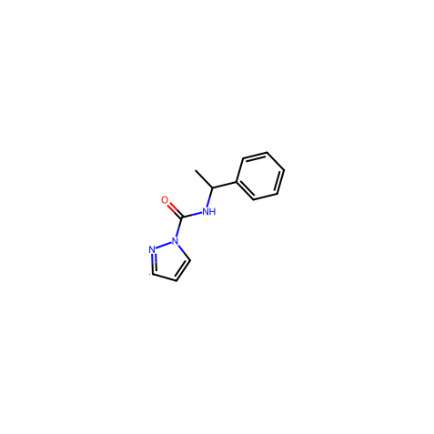 CC(NC(=O)n1cc[c]n1)c1ccccc1